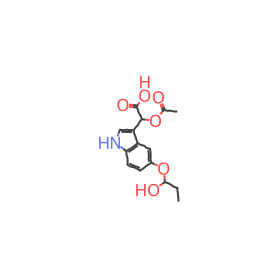 CCC(O)Oc1ccc2[nH]cc(C(OC(C)=O)C(=O)O)c2c1